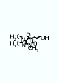 CCn1c(C)nc2c1c(=O)n(CCCO)c(=O)n2C